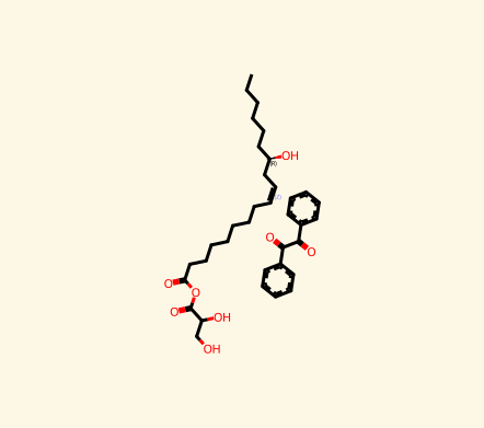 CCCCCC[C@@H](O)C/C=C\CCCCCCCC(=O)OC(=O)C(O)CO.O=C(C(=O)c1ccccc1)c1ccccc1